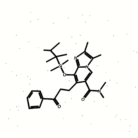 Cc1nc2c(O[Si](C)(C)C(C)(C)C(C)C)c(CCC(=O)c3ccccc3)c(C(=O)N(C)C)cn2c1C